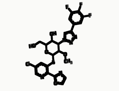 COC1C(Sc2cc(Cl)cnc2-c2ncco2)OC(CO)C(O)C1n1cc(-c2cc(F)c(F)c(F)c2)nn1